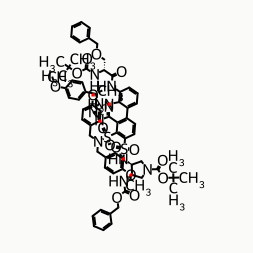 COc1ccc(CN(Cc2ccc(OC)cc2)S(=O)(=O)c2c(S(=O)(=O)N[C@H]3CN(C(=O)OC(C)(C)C)C[C@H]3NC(=O)OCc3ccccc3)ccc(-c3cccc(NC(=O)[C@@H](COCc4ccccc4)NC(=O)OC(C)(C)C)c3N)c2-c2nnn(Cc3ccc(OC)cc3)n2)cc1